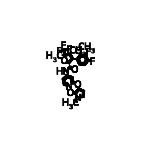 COc1c([C@H]2[C@H](C(=O)Nc3ccnc(O[C@@H]4CCN(C)C4=O)c3)O[C@@](C)(C(F)(F)F)[C@H]2C)ccc(F)c1F